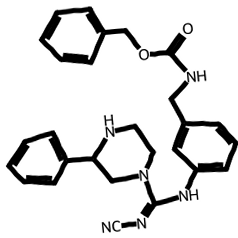 N#CN=C(Nc1cccc(CNC(=O)OCc2ccccc2)c1)N1CCNC(c2ccccc2)C1